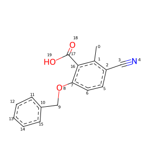 Cc1c(C#N)ccc(OCc2ccccc2)c1C(=O)O